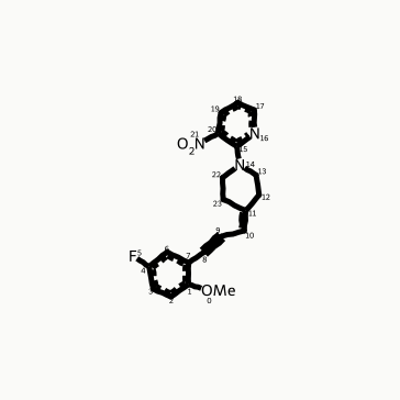 COc1ccc(F)cc1C#CC=C1CCN(c2ncccc2[N+](=O)[O-])CC1